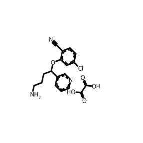 N#Cc1ccc(Cl)cc1OC(CCCN)c1cccnc1.O=C(O)C(=O)O